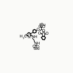 C[n+]1ccc(-c2ccc(OCC(ON3C(=O)c4ccccc4C3=O)C(=O)OC(C)(C)C)cc2)c(NCCCNC(=O)OC(C)(C)C)n1